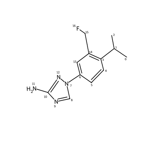 CC(C)c1ccc(-n2cnc(N)n2)cc1CF